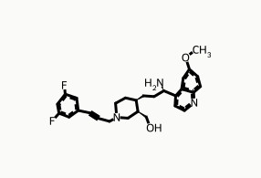 COc1ccc2nccc([C@@H](N)CC[C@@H]3CCN(CC#Cc4cc(F)cc(F)c4)C[C@@H]3CO)c2c1